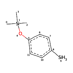 C[Si](C)(C)Oc1ccc([SiH3])cc1